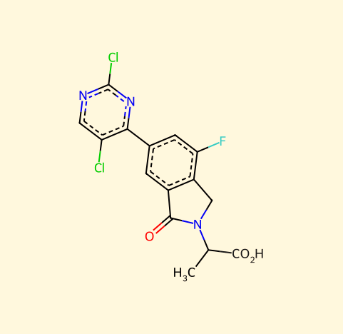 CC(C(=O)O)N1Cc2c(F)cc(-c3nc(Cl)ncc3Cl)cc2C1=O